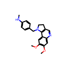 CNc1ccc(CN2CCc3cnc4cc(OC)c(OC)cc4c32)cc1